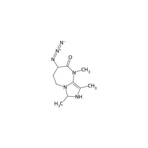 CC1=C2N(C)C(=O)C(N=[N+]=[N-])CCN2C(C)N1